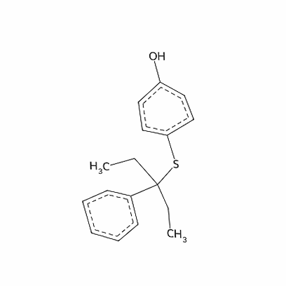 CCC(CC)(Sc1ccc(O)cc1)c1ccccc1